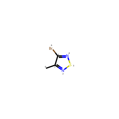 Cc1nsnc1Br